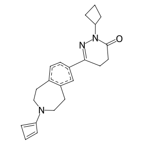 O=C1CCC(c2ccc3c(c2)CCN(C2=CC=C2)CC3)=NN1C1CCC1